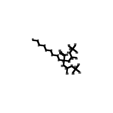 CCCCCCCCCC(CC(C)CC(C)(C)C)(CC(C)CC(C)(C)C)P=O